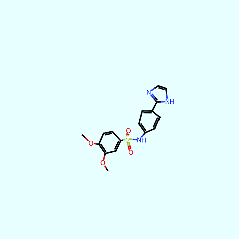 COc1ccc(S(=O)(=O)Nc2ccc(-c3ncc[nH]3)cc2)cc1OC